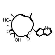 CC1=C/C[C@@H](c2ccc3cccnc3c2)OC(=O)C[C@H](O)C(C)(C)C(=O)[C@H](C)[C@@H](O)[C@@H](C)C\C=C\1